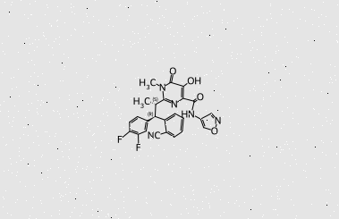 C[C@H](c1nc(C(=O)Nc2cnoc2)c(O)c(=O)n1C)[C@H](c1ccc(F)c(F)c1)c1ccccc1C#N